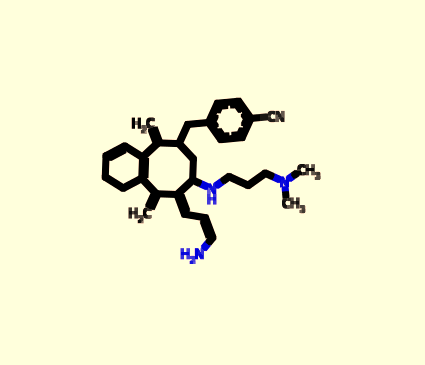 C=C1C2=C(C=CCC2)C(=C)C(Cc2ccc(C#N)cc2)CC(NCCCN(C)C)/C1=C\C=C/N